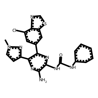 Cn1ccc(-c2nc(N)c(NC(=O)Nc3ccccc3)nc2-c2cc(Cl)c3ncsc3c2)n1